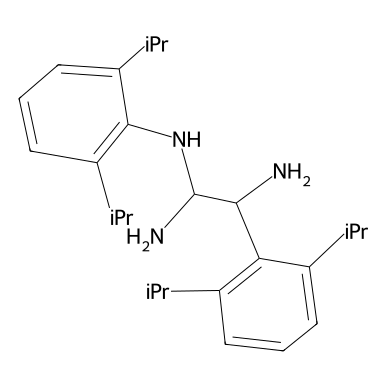 CC(C)c1cccc(C(C)C)c1NC(N)C(N)c1c(C(C)C)cccc1C(C)C